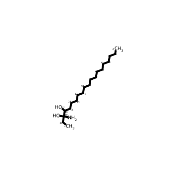 CCCCCCCCCCCCCCCCC(O)C(N)(O)CC